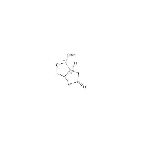 CO[C@H]1OCC2OC(=O)C[C@@H]21